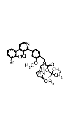 COc1cc(-c2nccc(-c3cccc(Br)c3Cl)c2Cl)ccc1CN(C[C@@H]1CCC(=O)N1)C(=O)OC(C)(C)C